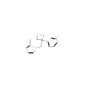 Cc1ccnn1CC1(c2cccc(Br)c2)COC1